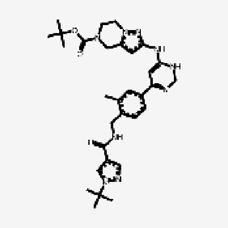 Cc1cc(C2=NCNC(Nc3cc4n(n3)CCN(C(=O)OC(C)(C)C)C4)=C2)ccc1CNC(=O)c1cnn(C(C)(C)C)c1